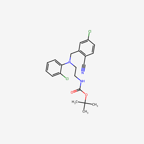 CC(C)(C)OC(=O)NCCN(Cc1cc(Cl)ccc1C#N)c1ccccc1Cl